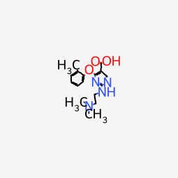 Cc1ccccc1Oc1nc(NCCN(C)C)ncc1C(=O)O